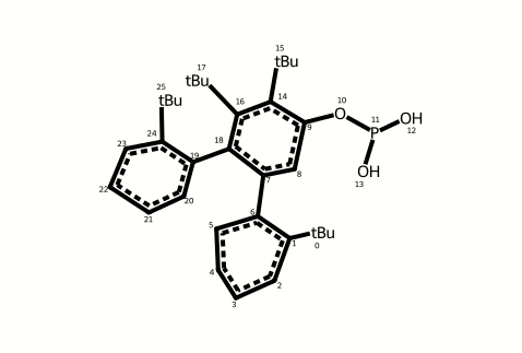 CC(C)(C)c1ccccc1-c1cc(OP(O)O)c(C(C)(C)C)c(C(C)(C)C)c1-c1ccccc1C(C)(C)C